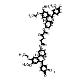 CCOc1cc2c(cc1OC)C(c1ccc(=O)n(C)c1)=N[C@@H]1CC[C@@H](OC(=O)CCC(=O)C(=O)O[C@@H]3CC[C@H]4N=C(c5ccc(=O)n(C)c5)c5cc(OC)c(OCC)cc5[C@H]4C3)C[C@H]21